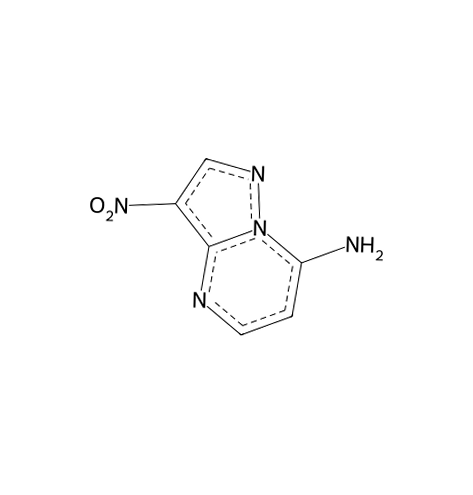 Nc1ccnc2c([N+](=O)[O-])cnn12